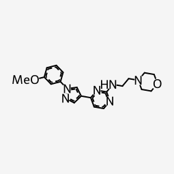 COc1cccc(-n2cc(-c3ccnc(NCCN4CCOCC4)n3)cn2)c1